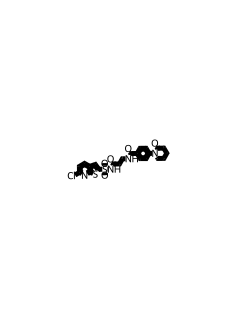 O=C(CCNC(=O)c1ccc(N2CCCCC2=O)cc1)NS(=O)(=O)c1cc2ccc(Cl)nc2s1